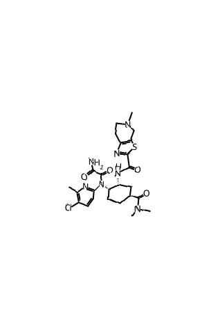 Cc1nc(N(C(=O)C(N)=O)[C@H]2CC[C@H](C(=O)N(C)C)C[C@H]2NC(=O)c2nc3c(s2)CN(C)CC3)ccc1Cl